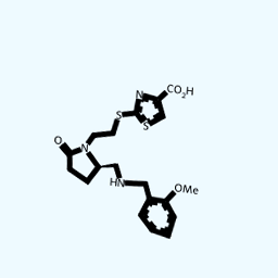 COc1ccccc1CNC[C@H]1CCC(=O)N1CCSc1nc(C(=O)O)cs1